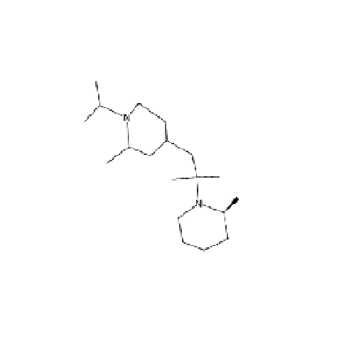 CC(C)N1CCC(CC(C)(C)N2CCCC[C@@H]2C)CC1C